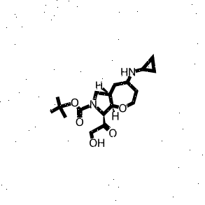 CC(C)(C)OC(=O)N1C[C@@H]2CC(NC3CC3)CCO[C@H]2[C@H]1C(=O)CO